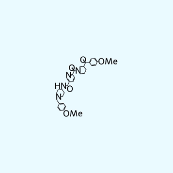 COc1ccc(CN2CCC(NC(=O)c3ccc(C(=O)N4CCCC(C(=O)c5ccc(OC)cc5)C4)nc3)CC2)cc1